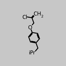 C=C(Cl)COc1ccc(CC(C)C)cc1